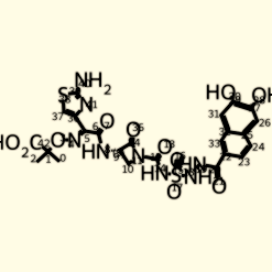 CC(C)(ON=C(C(=O)N[C@H]1CN(C(=O)NS(=O)(=O)NNC(=O)c2ccc3cc(O)c(O)cc3c2)C1=O)c1csc(N)n1)C(=O)O